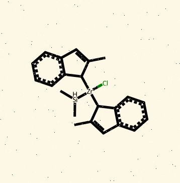 CC1=Cc2ccccc2[CH]1[Zr]([Cl])([CH]1C(C)=Cc2ccccc21)[SiH](C)C